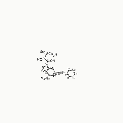 CC[C@H](C(=O)O)[C@@H](O)[C@@H](O)n1cnc2c(NC)nc(C#Cc3cccnc3)nc21